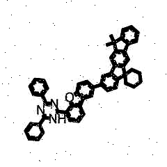 CC1(C)c2ccccc2-c2cc3c(cc21)-c1cc(-c2ccc4oc5c(C6N=C(c7ccccc7)N=C(C7C=CC=CC7)N6)cccc5c4c2)ccc1C31CCCCC1